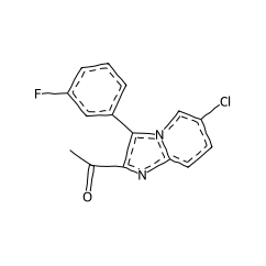 CC(=O)c1nc2ccc(Cl)cn2c1-c1cccc(F)c1